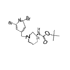 CC(C)(C)OC(=O)N[C@H]1CCCN(Cc2cc(Br)nc(Br)c2)C1